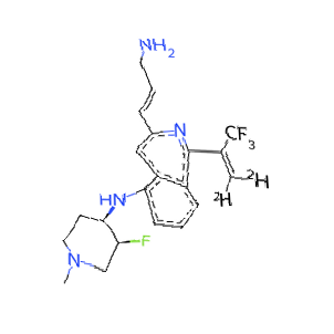 [2H]C([2H])=C(c1nc(/C=C/CN)cc2c(N[C@@H]3CCN(C)C[C@@H]3F)cccc12)C(F)(F)F